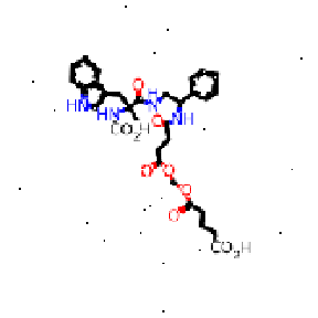 CC(Cc1c[nH]c2ccccc12)(NC(=O)O)C(=O)NCC(NC(=O)CCC(=O)OCOC(=O)CCCC(=O)O)c1ccccc1